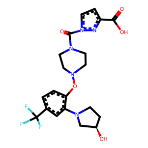 O=C(O)c1ccn(C(=O)N2CCN(Oc3ccc(C(F)(F)F)cc3N3CC[C@@H](O)C3)CC2)n1